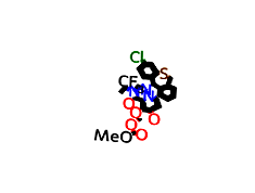 COC(=O)OCOc1c2n(ccc1=O)N([C@H]1c3ccccc3CSc3cc(Cl)ccc31)CN([C@H](C)C(F)(F)F)C2=O